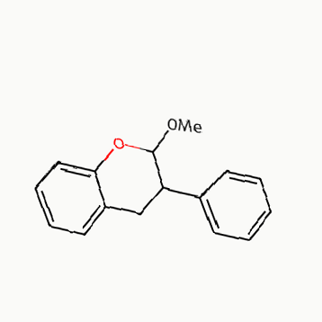 COC1Oc2ccccc2CC1c1ccccc1